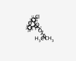 CN(C)CCCOCc1cc2c(o1)-c1cc(Cl)ccc1Oc1ccccc1-2